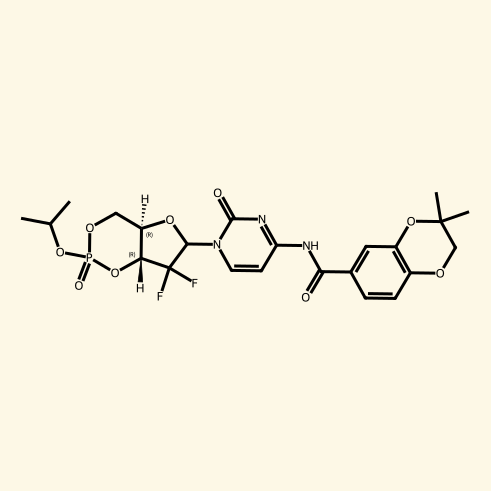 CC(C)OP1(=O)OC[C@H]2OC(n3ccc(NC(=O)c4ccc5c(c4)OC(C)(C)CO5)nc3=O)C(F)(F)[C@@H]2O1